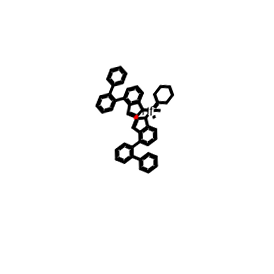 [CH3][Hf]([CH3])(=[C]1CCCCC1)([CH]1C=Cc2c(-c3ccccc3-c3ccccc3)cccc21)[CH]1C=Cc2c(-c3ccccc3-c3ccccc3)cccc21